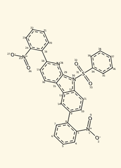 O=[N+]([O-])c1ccccc1-c1ccc2c(c1)c1ccc(-c3ccccc3[N+](=O)[O-])nc1n2S(=O)(=O)c1ccccc1